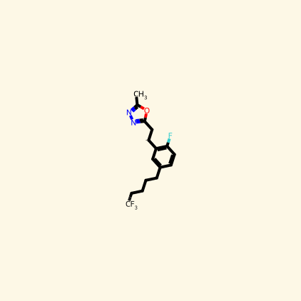 Cc1nnc(C[CH]c2cc(CCCCC(F)(F)F)ccc2F)o1